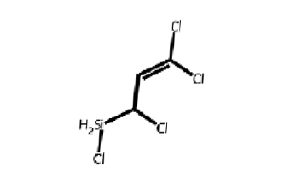 Cl[SiH2]C(Cl)C=C(Cl)Cl